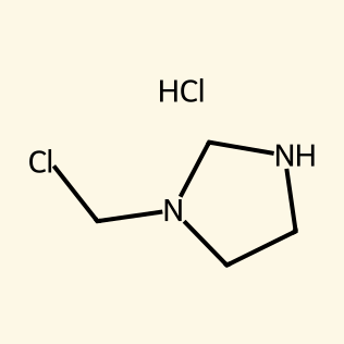 Cl.ClCN1CCNC1